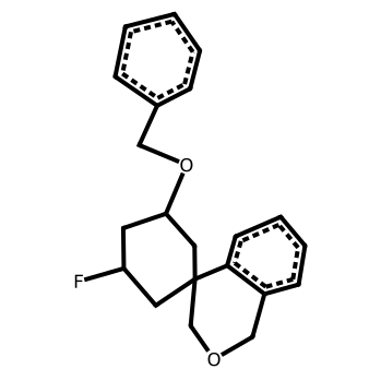 FC1CC(OCc2ccccc2)CC2(COCc3ccccc32)C1